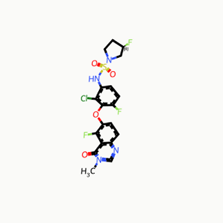 Cn1cnc2ccc(Oc3c(F)ccc(NS(=O)(=O)N4CC[C@@H](F)C4)c3Cl)c(F)c2c1=O